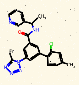 Cc1ccc(-c2cc(C(=O)NC(C)c3cccnc3)cc(-n3nnnc3C(C)C)c2)c(Cl)c1